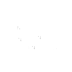 Cn1cnc(-c2nc(C=O)c[nH]2)c1